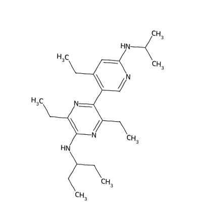 CCc1cc(NC(C)C)ncc1-c1nc(CC)c(NC(CC)CC)nc1CC